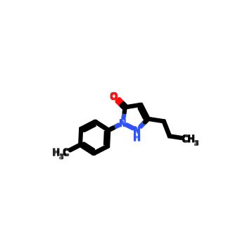 CCCc1cc(=O)n(-c2ccc(C)cc2)[nH]1